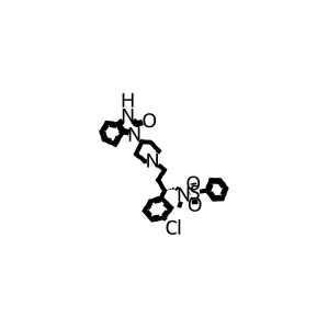 CN(C[C@@H](CCN1CCC(n2c(=O)[nH]c3ccccc32)CC1)c1cccc(Cl)c1)S(=O)(=O)c1ccccc1